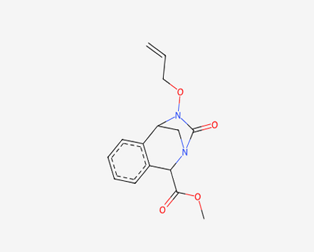 C=CCON1C(=O)N2CC1c1ccccc1C2C(=O)OC